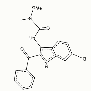 CON(C)C(=O)Nc1c(C(=O)c2ccccc2)[nH]c2cc(Cl)ccc12